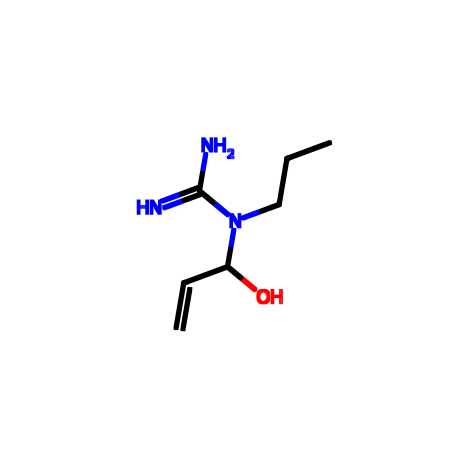 C=CC(O)N(CCC)C(=N)N